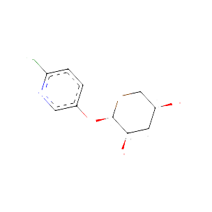 O[C@@H]1[C@@H](O)[C@@H](Oc2ccc(Cl)nc2)SC[C@H]1O